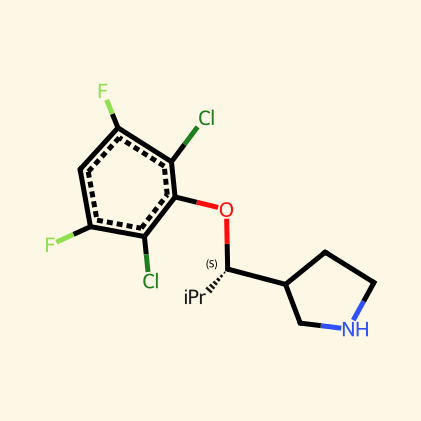 CC(C)[C@H](Oc1c(Cl)c(F)cc(F)c1Cl)C1CCNC1